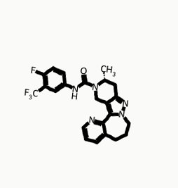 C[C@@H]1Cc2nn3c(c2CN1C(=O)Nc1ccc(F)c(C(F)(F)F)c1)-c1ncccc1CCC3